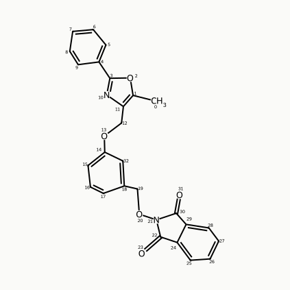 Cc1oc(-c2ccccc2)nc1COc1cccc(CON2C(=O)c3ccccc3C2=O)c1